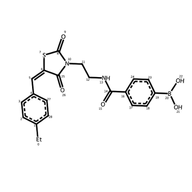 CCc1ccc(C=C2SC(=O)N(CCNC(=O)c3ccc(B(O)O)cc3)C2=O)cc1